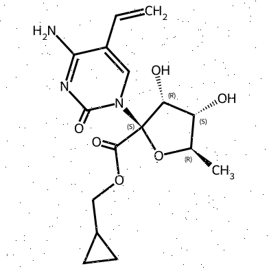 C=Cc1cn([C@]2(C(=O)OCC3CC3)O[C@H](C)[C@@H](O)[C@H]2O)c(=O)nc1N